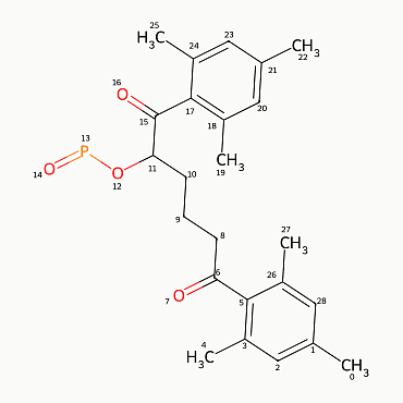 Cc1cc(C)c(C(=O)CCCC(OP=O)C(=O)c2c(C)cc(C)cc2C)c(C)c1